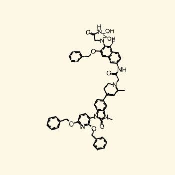 CC1C=C(c2ccc3c(c2)n(C)c(=O)n3-c2ccc(OCc3ccccc3)nc2OCc2ccccc2)CCN1CC(=O)Nc1ccc2c(F)c(N3CC(=O)NS3(O)O)c(OCc3ccccc3)cc2c1